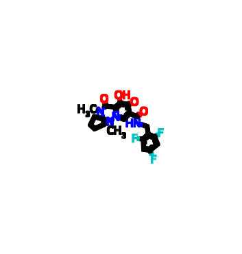 CN1C(=O)c2c(O)c(=O)c(C(=O)NCc3c(F)cc(F)cc3F)cn2N(C)C12CCCC2